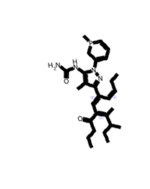 CC\C=C/C(=C\C(C(=O)CCC)=C(/C)C(C)CC)c1nn(C2=CC=CP(C)C2)c(NC(N)=O)c1C